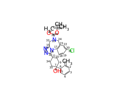 Cc1ccccc1C1(O)CCC(c2nnc3n2-c2ccc(Cl)cc2CN(C(=O)OC(C)(C)C)C3)CC1